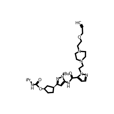 C#CCOCCN1CCN(CCn2nccc2C(=O)Nc2cc([C@H]3CC[C@@H](OC(=O)NC(C)C)C3)nn2C(C)(C)C)CC1